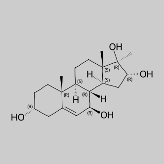 C[C@]12CC[C@@H](O)CC1=C[C@H](O)[C@@H]1[C@@H]2CC[C@@]2(C)[C@H]1C[C@@H](O)[C@]2(C)O